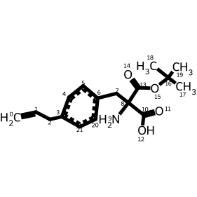 C=CCc1ccc(CC(N)(C(=O)O)C(=O)OC(C)(C)C)cc1